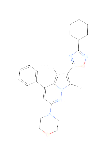 CCCc1c(-c2nc(C3CCCCC3)no2)c(C(=O)OCC)c2c(-c3ccccc3)cc(N3CCOCC3)nn12